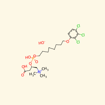 C[N+](C)(C)C[C@@H](CC(=O)O)OP(=O)(O)OCCCCCCCCOc1ccc(Cl)c(Cl)c1Cl.[OH-]